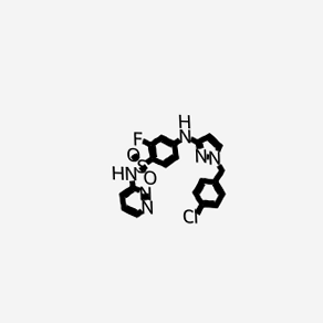 O=S(=O)(Nc1cccnn1)c1ccc(Nc2ccn(Cc3ccc(Cl)cc3)n2)cc1F